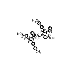 CN(C)CCN(c1nc(-c2cnn3ccccc23)nc(-c2ccc(N3CCN(C)CC3)cc2)c1F)[C@@H]1CCCN(C(=O)CC#N)C1.CN1CCC(c2ccc(-c3nc(-c4cnn5ccccc45)nc(N[C@@H]4CCCN(C(=O)CC#N)C4)c3F)cc2)CC1